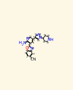 N#Cc1ccc2oc(-c3cc(-c4cnn(C5CCNCC5)c4)cnc3N)nc2c1